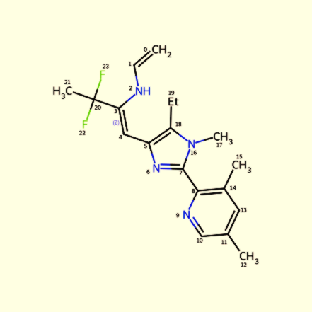 C=CN/C(=C\c1nc(-c2ncc(C)cc2C)n(C)c1CC)C(C)(F)F